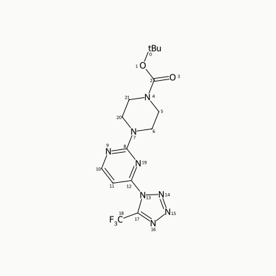 CC(C)(C)OC(=O)N1CCN(c2nccc(-n3nnnc3C(F)(F)F)n2)CC1